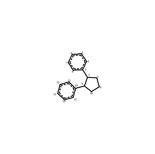 [CH]1CC(c2ccccc2)C(c2ccccc2)C1